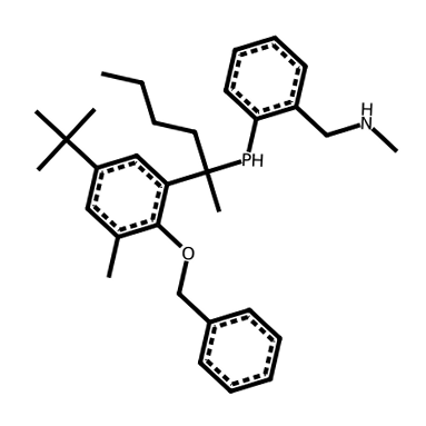 CCCCC(C)(Pc1ccccc1CNC)c1cc(C(C)(C)C)cc(C)c1OCc1ccccc1